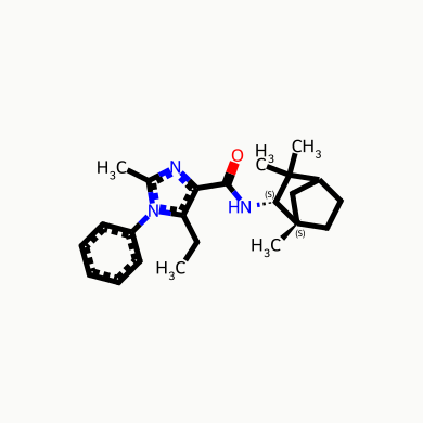 CCc1c(C(=O)N[C@@H]2C(C)(C)C3CC[C@@]2(C)C3)nc(C)n1-c1ccccc1